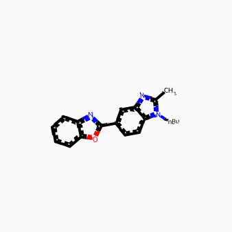 CCCCn1c(C)nc2cc(-c3nc4ccccc4o3)ccc21